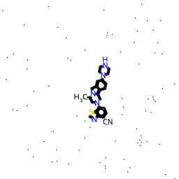 C[C@@H]1CN(c2ccc(C#N)c3ncsc23)CC2=C3CC=C(N4CCNCC4)C=C3CN21